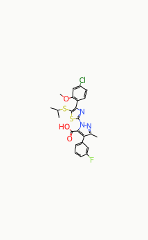 COc1cc(Cl)ccc1-c1nc(-n2nc(C)c(-c3cccc(F)c3)c2C(=O)O)sc1SC(C)C